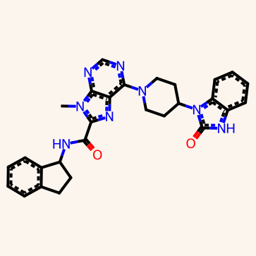 Cn1c(C(=O)NC2CCc3ccccc32)nc2c(N3CCC(n4c(=O)[nH]c5ccccc54)CC3)ncnc21